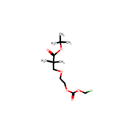 CC(C)(C)OC(=O)C(C)(C)COCCOC(=O)OCCl